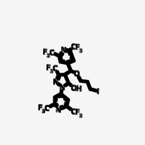 OC1C(C(OCCCI)c2cc(C(F)(F)F)nc(C(F)(F)F)c2)C(C(F)(F)F)=NN1c1cc(C(F)(F)F)nc(C(F)(F)F)c1